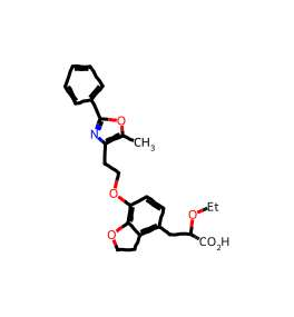 CCOC(Cc1ccc(OCCc2nc(-c3ccccc3)oc2C)c2c1CCO2)C(=O)O